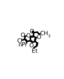 CCCc1c(Cl)c(=O)oc2c3c(c4c(c12)OC(CC)C=C4)OC(C)CC3=O